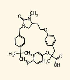 CN1C(=O)N(Cc2ccc(C(C)(C)C)cc2)CC1CCOc1ccc(CC(C)(Oc2ccc(F)cc2)C(=O)O)cc1